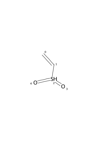 C=C[SH](=O)=O